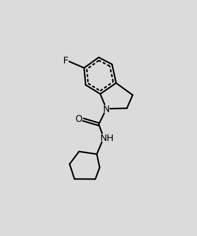 O=C(NC1CCCCC1)N1CCc2ccc(F)cc21